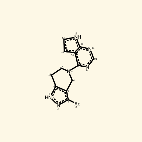 CC(=O)c1n[nH]c2c1CN(c1ncnc3[nH]ccc13)CC2